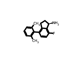 Cc1cccc(C)c1-c1ccc(F)c2c1CC[C@H]2N